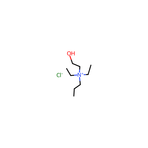 CCC[N+](CC)(CC)CCO.[Cl-]